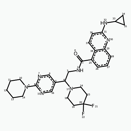 O=C(NCC(c1cnc(N2CCCCC2)nc1)N1CCC(F)(F)CC1)c1cccc2nc(NC3CC3)ccc12